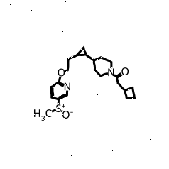 C[S+]([O-])c1ccc(OCCC2CC2C2CCN(C(=O)CC3CCC3)CC2)nc1